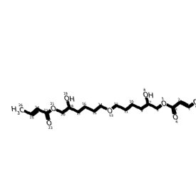 CC=CC(=O)OCC(O)CCCCOCCCCC(O)COC(=O)C=CC